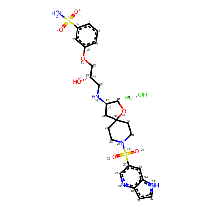 Cl.Cl.NS(=O)(=O)c1cccc(OC[C@@H](O)CN[C@H]2COC3(CCN(S(=O)(=O)c4cnc5cc[nH]c5c4)CC3)C2)c1